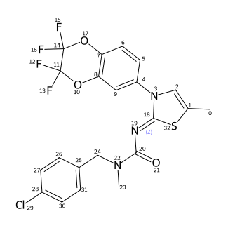 Cc1cn(-c2ccc3c(c2)OC(F)(F)C(F)(F)O3)/c(=N/C(=O)N(C)Cc2ccc(Cl)cc2)s1